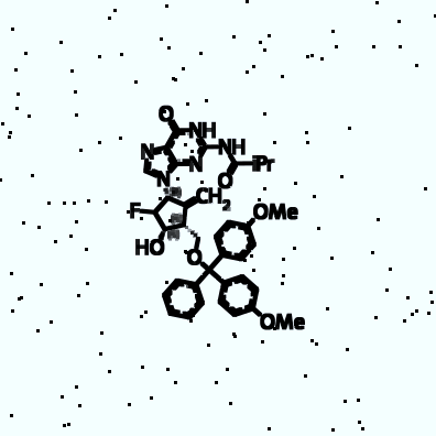 C=C1[C@@H](n2cnc3c(=O)[nH]c(NC(=O)C(C)C)nc32)C(F)[C@H](O)[C@H]1COC(c1ccccc1)(c1ccc(OC)cc1)c1ccc(OC)cc1